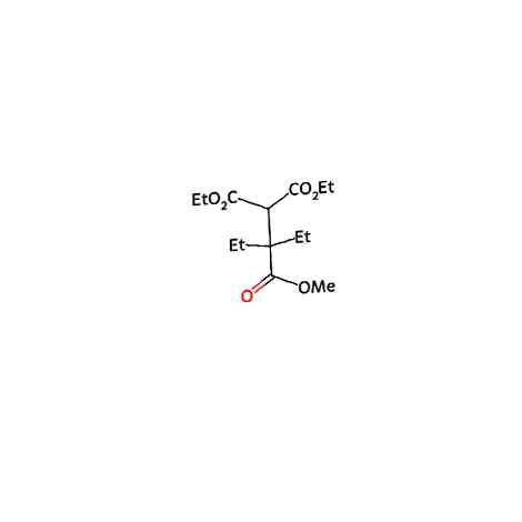 CCOC(=O)C(C(=O)OCC)C(CC)(CC)C(=O)OC